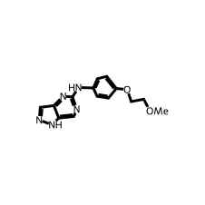 COCCOc1ccc(Nc2ncc3[nH]ncc3n2)cc1